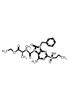 CCCS(=N)(=O)c1nc(N)c2c(n1)n(Cc1ccccc1)c(=O)n2C(=O)N(C)[C@@H](C)C(=O)OCC